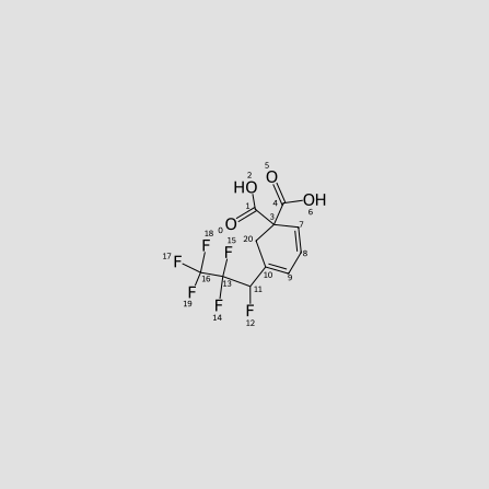 O=C(O)C1(C(=O)O)C=CC=C(C(F)C(F)(F)C(F)(F)F)C1